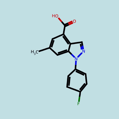 Cc1cc(C(=O)O)c2cnn(-c3ccc(F)cc3)c2c1